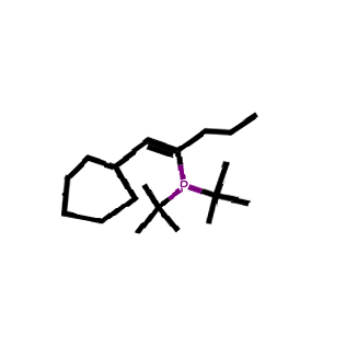 CCCC(=CC1CCCCC1)P(C(C)(C)C)C(C)(C)C